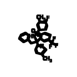 Cc1ccc(C(Cc2ccccc2)(NS(=O)(=O)c2ccc(F)c(C)c2)c2cccc(C(F)(F)F)c2)nc1